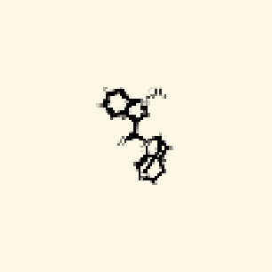 Cn1cc(C(=O)N2C3=CN4CCC3CC2C4)c2ccccc21